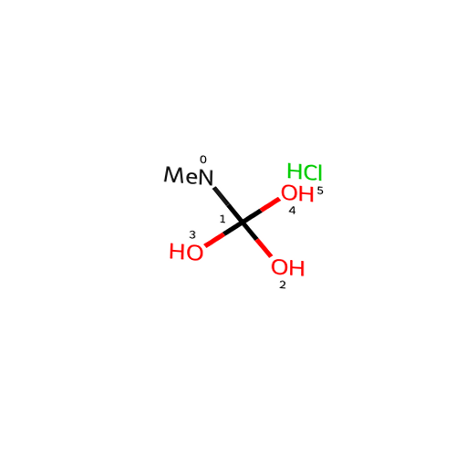 CNC(O)(O)O.Cl